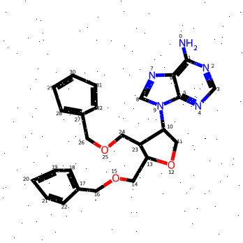 Nc1ncnc2c1ncn2C1COC(COCc2ccccc2)C1COCc1ccccc1